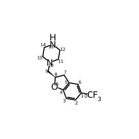 FC(F)(F)c1ccc2c(c1)C[C@H](CN1CCNCC1)O2